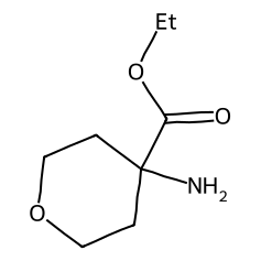 CCOC(=O)C1(N)CCOCC1